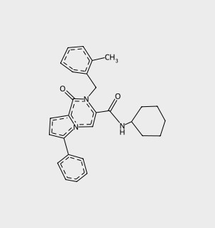 Cc1ccccc1Cn1c(C(=O)NC2CCCCC2)cn2c(-c3ccccc3)ccc2c1=O